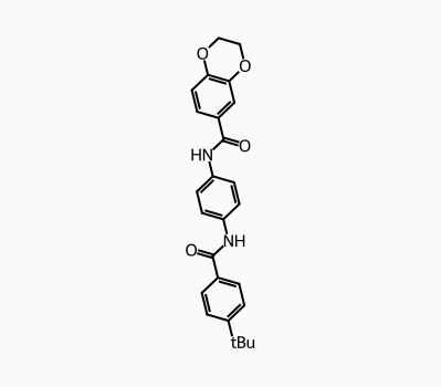 CC(C)(C)c1ccc(C(=O)Nc2ccc(NC(=O)c3ccc4c(c3)OCCO4)cc2)cc1